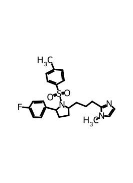 Cc1ccc(S(=O)(=O)N2C(CCCc3nccn3C)CCC2c2ccc(F)cc2)cc1